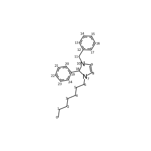 CCCCCCCN1C=CN(Cc2ccccc2)C1c1ccccc1